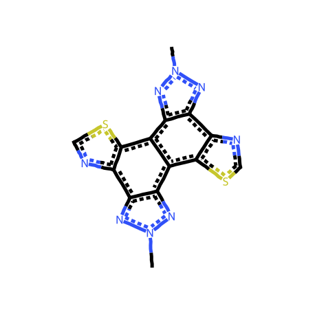 Cn1nc2c3ncsc3c3c4nn(C)nc4c4ncsc4c3c2n1